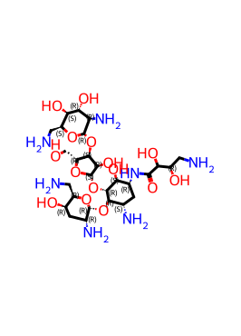 NC[C@@H](O)C(O)C(=O)N[C@@H]1C[C@H](N)[C@@H](O[C@H]2O[C@H](CN)[C@H](O)C[C@H]2N)[C@H](O[C@@H]2O[C@H](CO)[C@@H](O[C@H]3O[C@@H](CN)[C@@H](O)[C@H](O)[C@H]3N)[C@H]2O)[C@H]1O